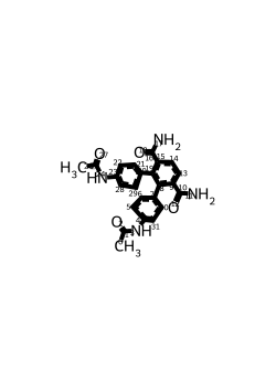 CC(=O)Nc1ccc(-c2c(C(N)=O)ccc(C(N)=O)c2-c2ccc(NC(C)=O)cc2)cc1